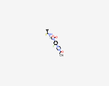 N#CCC(=O)N1CCN(c2ccc(N3C[C@H](CNC(=S)C4CC4)OC3=O)cc2F)CC1